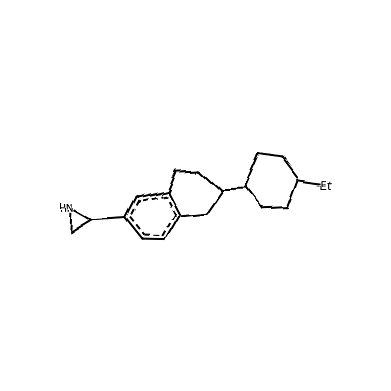 CCC1CCC(C2CCc3cc(C4CN4)ccc3C2)CC1